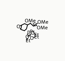 CCC[Si](OCC)(OCC)OCC.CO[Si](CCC1CCC2OC2C1)(OC)OC